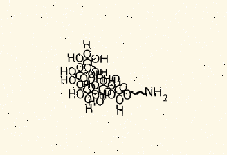 NCCCCO[C@H]1OC(CO)[C@H](O[C@H]2OC(CO)[C@@H](O[C@@H]3OC(CO)[C@@H](O[C@@H]4OC(CO)[C@@H](O[C@H]5OC(CO)[C@H](O)C(O)C5O)C(O)C4O)C(O)C3O)C(O)C2O)C(O)C1O